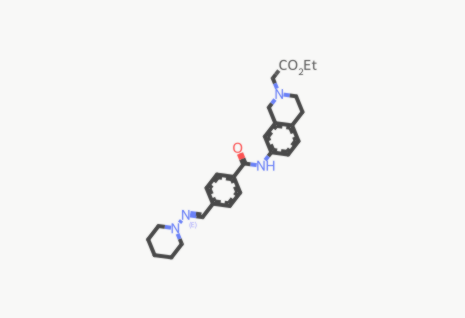 CCOC(=O)CN1CCc2ccc(NC(=O)c3ccc(/C=N/N4CCCCC4)cc3)cc2C1